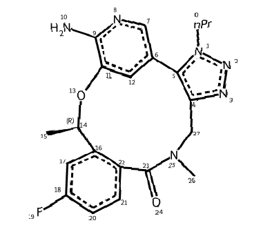 CCCn1nnc2c1-c1cnc(N)c(c1)O[C@H](C)c1cc(F)ccc1C(=O)N(C)C2